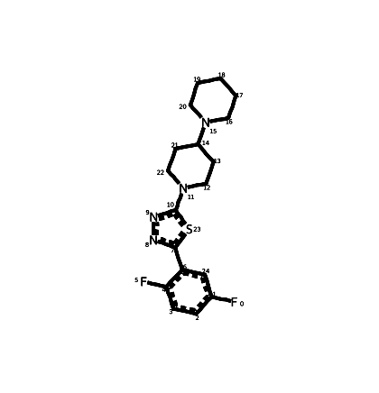 Fc1ccc(F)c(-c2nnc(N3CCC(N4CCCCC4)CC3)s2)c1